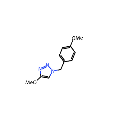 COc1ccc(Cn2cc(OC)nn2)cc1